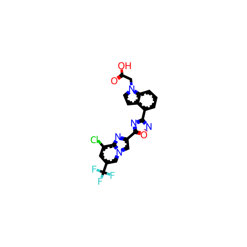 O=C(O)Cn1ccc2c(-c3noc(-c4cn5cc(C(F)(F)F)cc(Cl)c5n4)n3)cccc21